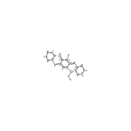 CCOc1nc(=Cc2ccccc2)c(=O)n(C)c1=Cc1ccccc1